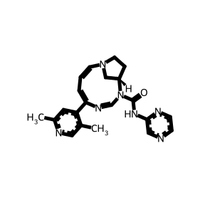 Cc1cc(C2=CC=CN3CC[C@@H](C3)N(C(=O)Nc3cnccn3)C=N2)c(C)cn1